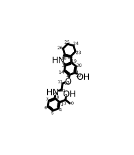 CC(O)c1ccccc1NCCOc1cc2[nH]c3c(c2cc1O)CCCC3